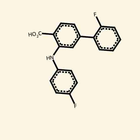 O=C(O)c1ccc(-c2ccccc2F)cc1Nc1ccc(F)cc1